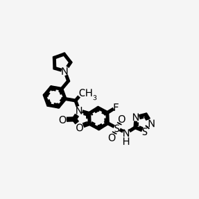 CC(c1ccccc1CN1CCCC1)n1c(=O)oc2cc(S(=O)(=O)Nc3ncns3)c(F)cc21